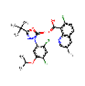 CC(C)Oc1cc(-n2nc(C(C)(C)C)oc2=O)c(Cl)cc1Cl.Cc1cnc2c(C(=O)O)c(Cl)ccc2c1